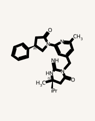 Cc1cc(CN2C(=N)N[C@](C)(C(C)C)CC2=O)cc(N2C[C@@H](c3ccccc3)CC2=O)n1